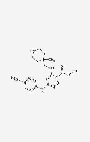 COC(=O)c1cnc(Nc2cnc(C#N)cn2)cc1NCC1(C)CCNCC1